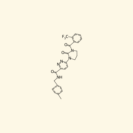 Cc1ccc(CNC(=O)c2ccc(N3CCCN(C(=O)c4ccccc4C(F)(F)F)C3=O)nn2)cc1